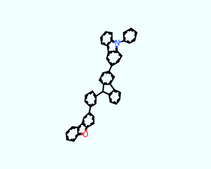 c1ccc(-n2c3ccccc3c3cc(-c4ccc5c(c4)-c4ccccc4C5c4cccc(-c5ccc6oc7ccccc7c6c5)c4)ccc32)cc1